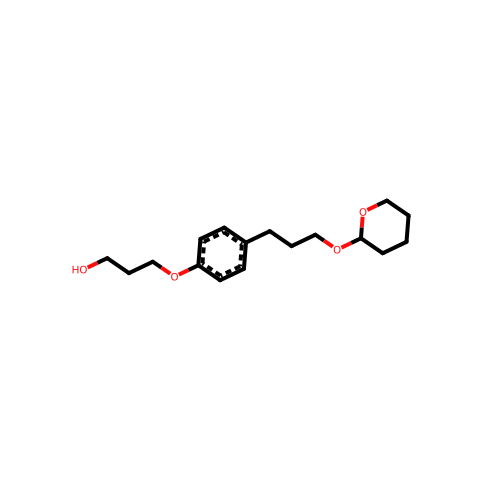 OCCCOc1ccc(CCCOC2CCCCO2)cc1